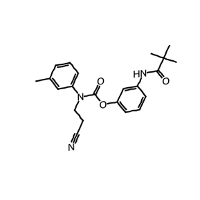 Cc1cccc(N(CCC#N)C(=O)Oc2cccc(NC(=O)C(C)(C)C)c2)c1